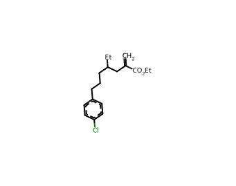 C=C(CC(CC)CCCc1ccc(Cl)cc1)C(=O)OCC